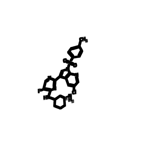 Cc1ccc(S(=O)(=O)n2cc(-c3ncc(F)c(NC4CCC[C@@H](N)C4)n3)c3cc(Cl)cnc32)cc1